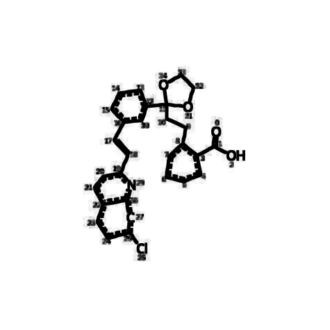 O=C(O)c1ccccc1CCC1(c2cccc(/C=C/c3ccc4ccc(Cl)cc4n3)c2)OCCO1